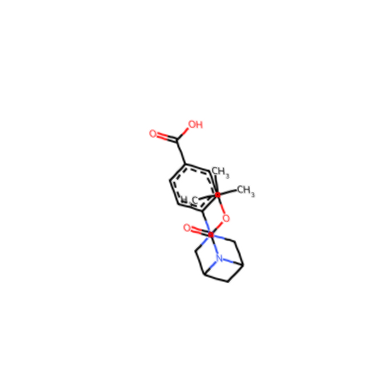 CC(C)(C)OC(=O)N1C2CC1CN(c1ccc(C(=O)O)cc1)C2